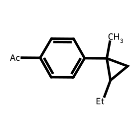 CCC1CC1(C)c1ccc(C(C)=O)cc1